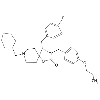 CCCOc1ccc(CN2C(=O)OC3(CCN(CC4CCCCC4)CC3)C2Cc2ccc(F)cc2)cc1